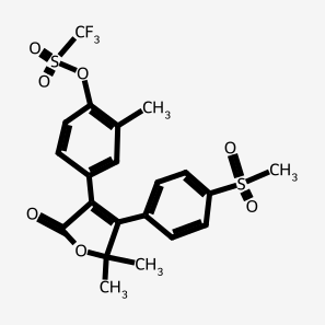 Cc1cc(C2=C(c3ccc(S(C)(=O)=O)cc3)C(C)(C)OC2=O)ccc1OS(=O)(=O)C(F)(F)F